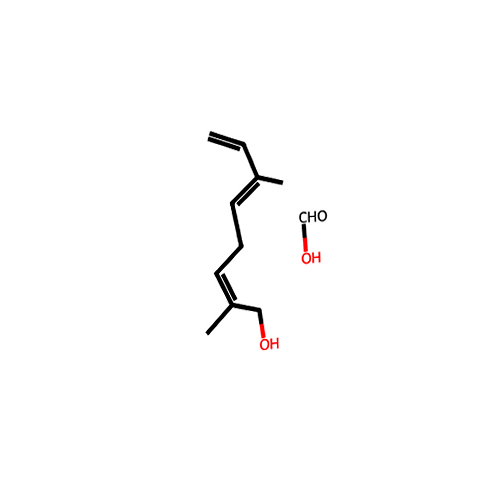 C=CC(C)=CCC=C(C)CO.O=CO